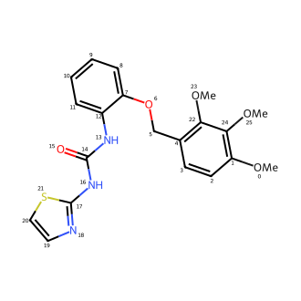 COc1ccc(COc2ccccc2NC(=O)Nc2nccs2)c(OC)c1OC